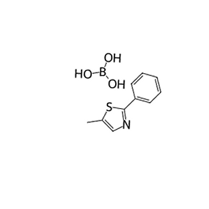 Cc1cnc(-c2ccccc2)s1.OB(O)O